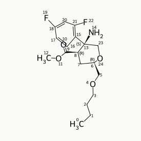 CCCCOC[C@H]1C[C@@H](C(=O)OC)[C@](N)(c2ccc(F)cc2F)CO1